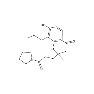 CCCc1c(O)ccc2c1OC(C)(CCC(=O)N1CCCC1)CC2=O